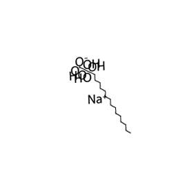 CCCCCCCCCCCCCCCC(O)(O)C(O)(O)C(=O)[O-].[Na+]